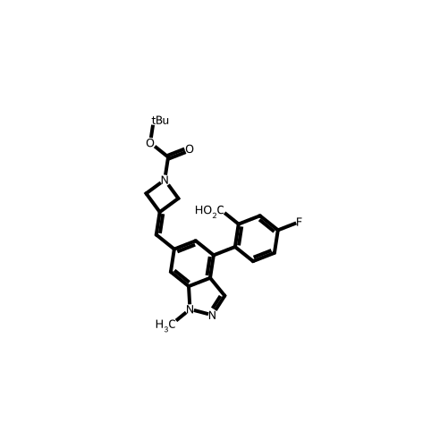 Cn1ncc2c(-c3ccc(F)cc3C(=O)O)cc(C=C3CN(C(=O)OC(C)(C)C)C3)cc21